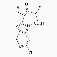 O=C(O)n1c(-c2ccoc2C(F)F)cc2cnc(Cl)cc21